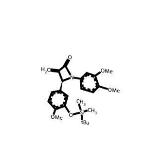 C=C1C(=O)N(c2ccc(OC)c(OC)c2)[C@H]1c1ccc(OC)c(O[Si](C)(C)C(C)(C)C)c1